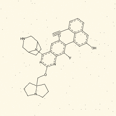 C#Cc1cccc2cc(O)cc(-c3c(Cl)cc4c(N5C6CCC5CNC6)nc(OCC56CCCN5CCC6)nc4c3F)c12